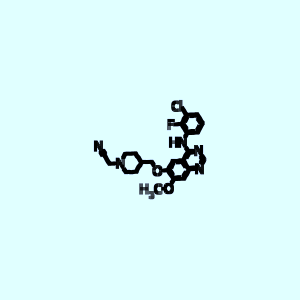 COc1cc2ncnc(Nc3cccc(Cl)c3F)c2cc1OCC1CCN(CC#N)CC1